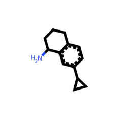 NC1CCCc2ccc(C3CC3)cc21